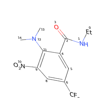 CCNC(=O)c1cc(C(F)(F)F)cc([N+](=O)[O-])c1N(C)C